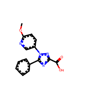 COc1ccc(-n2nc(C(=O)O)nc2-c2ccccc2)cn1